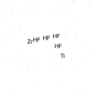 F.F.F.F.[Ti].[Zr]